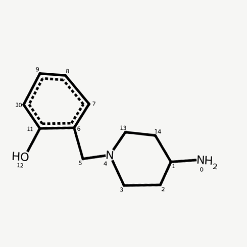 NC1CCN(Cc2ccccc2O)CC1